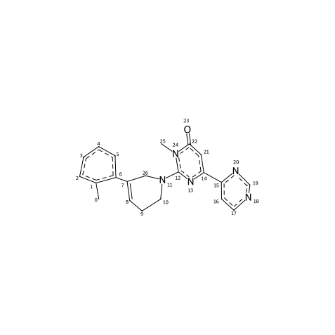 Cc1ccccc1C1=CCCN(c2nc(-c3ccncn3)cc(=O)n2C)C1